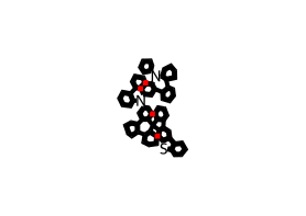 c1ccc(-c2ccccc2N(c2ccc3c(c2)-c2ccccc2-c2ccccc2N3c2ccccc2)c2ccc3c(c2)-c2ccccc2-c2ccccc2C32c3ccccc3-c3cc4c(cc32)sc2ccccc24)cc1